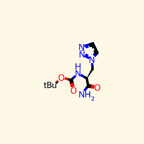 CC(C)(C)OC(=O)N[C@@H](Cn1ccnn1)C(N)=O